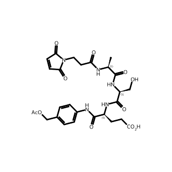 CC(=O)OCc1ccc(NC(=O)[C@H](CCC(=O)O)NC(=O)[C@H](CO)NC(=O)[C@H](C)NC(=O)CCN2C(=O)C=CC2=O)cc1